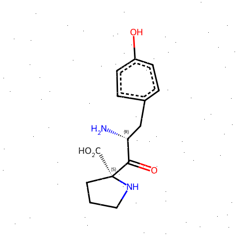 N[C@H](Cc1ccc(O)cc1)C(=O)[C@]1(C(=O)O)CCCN1